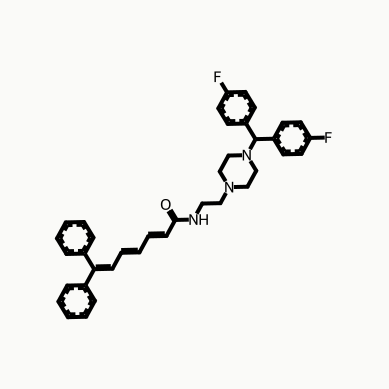 O=C(/C=C/C=C/C=C(c1ccccc1)c1ccccc1)NCCN1CCN(C(c2ccc(F)cc2)c2ccc(F)cc2)CC1